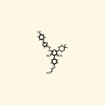 CC1(C)CCN(c2nc(SCc3csc(-c4ccc(Cl)cc4)n3)c(C#N)c(-c3ccc(OCCO)cc3)c2C#N)CC1